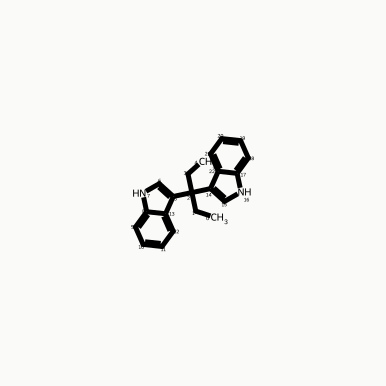 CCC(CC)(c1c[nH]c2ccccc12)c1c[nH]c2ccccc12